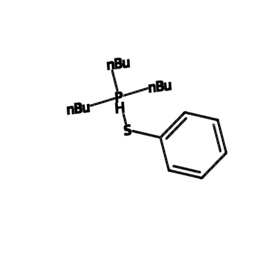 CCCC[PH](CCCC)(CCCC)Sc1ccccc1